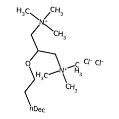 CCCCCCCCCCCCOC(C[N+](C)(C)C)C[N+](C)(C)C.[Cl-].[Cl-]